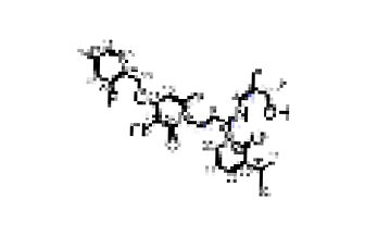 C/C(=C/N=C(\C=C\n1c(C)cc(OCc2ncc(F)cc2F)c(Cl)c1=O)n1cccc(C(C)C)c1=O)[C@H](C)O